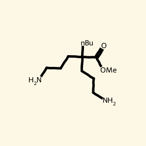 CCCCC(CCCN)(CCCN)C(=O)OC